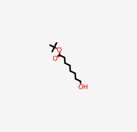 CC(C)(C)OC(=O)CCCCCCCO